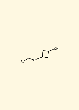 CC(=O)COC1CC(O)C1